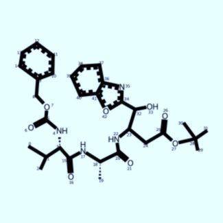 CC(C)[C@H](NC(=O)OCc1ccccc1)C(=O)N[C@@H](C)C(=O)NC(CC(=O)OC(C)(C)C)C(O)c1nc2ccccc2o1